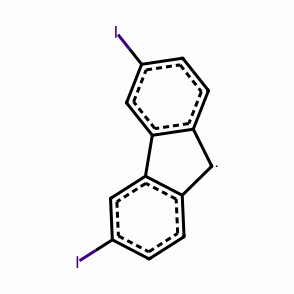 Ic1ccc2c(c1)-c1cc(I)ccc1[CH]2